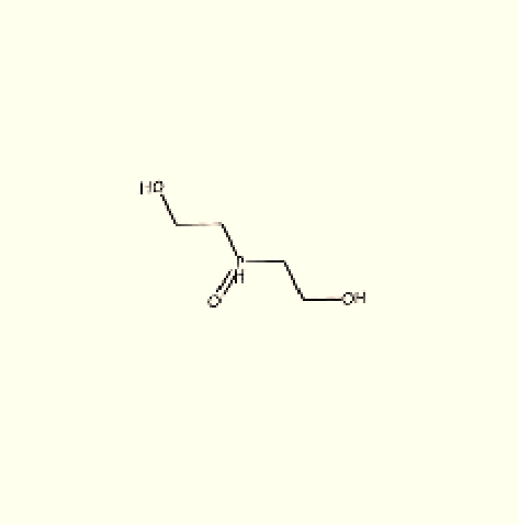 O=[PH](CCO)CCO